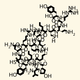 CC[C@H](C)[C@H](NC(=O)[C@@H](NC(=O)[C@@H]1C[C@@H](O)CN1C(=O)[C@@H](N)C(C)C)[C@@H](C)CC)C(=O)N[C@@H](Cc1ccc(O)cc1)C(=O)N[C@H](C(=O)N[C@@H](CC(N)=O)C(=O)N[C@@H](CCCNC(=N)N)C(=O)N[C@@H](CCCN)C(=O)N[C@H](C(=O)N[C@H](CCN)C(=O)N[C@H](C(=O)N[C@@H](CS)C(=O)N[C@@H](CCN)C(=O)N[C@@H](CCCNC(=N)N)C(=O)N[C@@H](Cc1ccc(O)cc1)C(=O)O)[C@@H](C)CC)[C@@H](C)O)C(C)(C)S